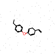 C=CC1C=CC(Oc2ccc(CC)cc2)=CC1